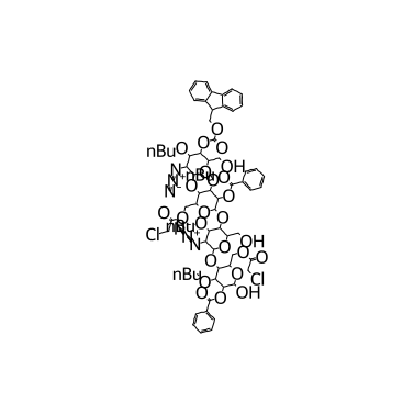 CCCCOC1C(N=[N+]=[N-])C(OC2C(COC(=O)CCl)OC(OC3C(CO)OC(OC4C(COC(=O)CCl)OC(O)C(OC(=O)c5ccccc5)C4OCCCC)C(N=[N+]=[N-])C3OCCCC)C(OC(=O)c3ccccc3)C2OCCCC)OC(CO)C1OC(=O)OCC1c2ccccc2-c2ccccc21